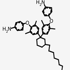 CCCCCCCCC1CCCC(c2cc(C)c(Oc3ccc(N)cc3)c(C)c2)(c2cc(C)c(Oc3ccc(N)cc3)c(C)c2)C1